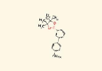 CCCCCCc1ccc(-c2cccc(B3OC(C)(C)C(C)(C)O3)c2)cc1